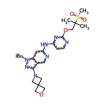 CCC(C)n1nc(N2CC3(COC3)C2)c2cnc(Nc3ccnc(OCC(C)(C)S(C)(=O)=O)n3)cc21